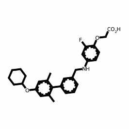 Cc1cc(OC2CCCCC2)cc(C)c1-c1cccc(CNc2ccc(OCC(=O)O)c(F)c2)c1